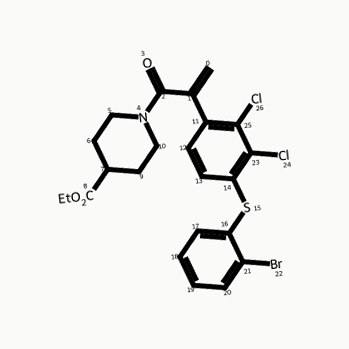 C=C(C(=O)N1CCC(C(=O)OCC)CC1)c1ccc(Sc2ccccc2Br)c(Cl)c1Cl